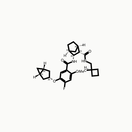 COc1cc(F)c(O[C@@H]2C[C@@H]3C[C@@H]3C2)cc1C(=O)N[C@@H]1[C@H]2CC[C@H](C2)[C@@H]1C(=O)NCC1(C)CCC1